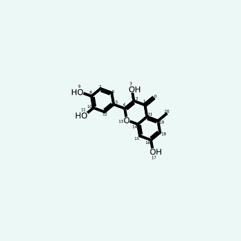 C=C1C(O)=C(c2ccc(O)c(O)c2)Oc2cc(O)cc(C)c21